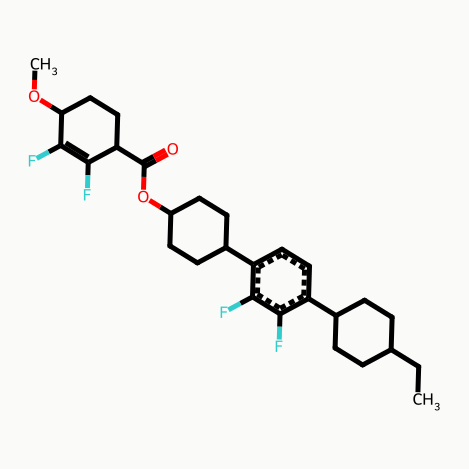 CCC1CCC(c2ccc(C3CCC(OC(=O)C4CCC(OC)C(F)=C4F)CC3)c(F)c2F)CC1